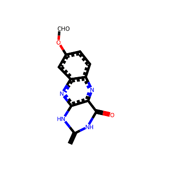 C=C1NC(=O)c2nc3ccc(OC=O)cc3nc2N1